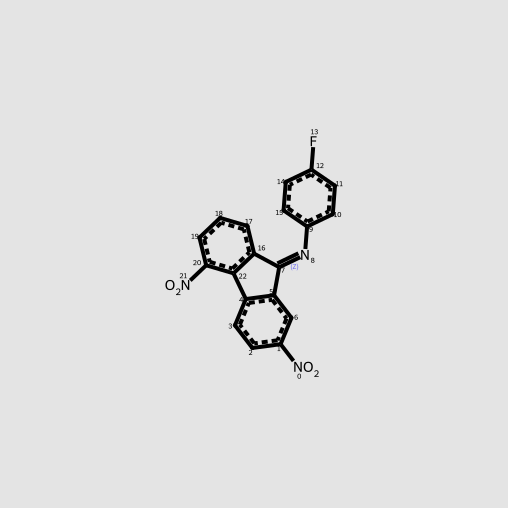 O=[N+]([O-])c1ccc2c(c1)/C(=N/c1ccc(F)cc1)c1cccc([N+](=O)[O-])c1-2